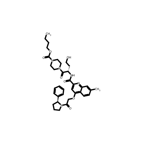 CCCCOC(=O)N1CCN(C(=O)[C@H](CCO)NC(=O)c2cc(OCC(=O)N3CCC[C@H]3c3ccccc3)c3ccc(C)cc3n2)CC1